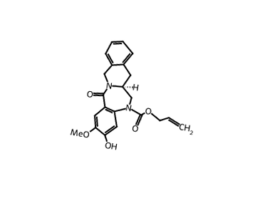 C=CCOC(=O)N1C[C@@H]2Cc3ccccc3CN2C(=O)c2cc(OC)c(O)cc21